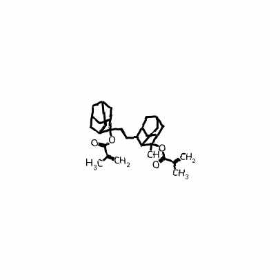 C=C(C)C(=O)OC1(C)C2CC3CC(C2)C(CCC2(OC(=O)C(=C)C)C4CC5CC(C4)CC2C5)C1C3